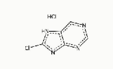 Cl.Clc1nc2ncncc2[nH]1